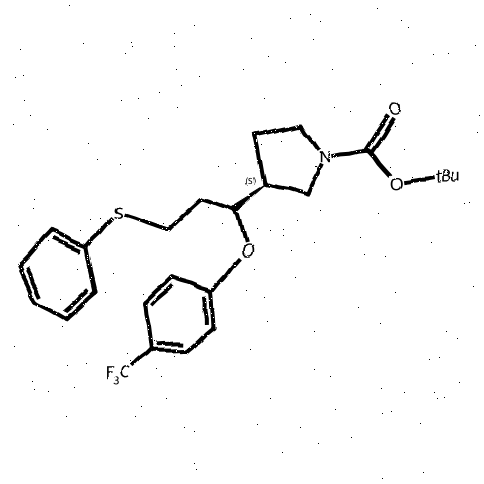 CC(C)(C)OC(=O)N1CC[C@H](C(CCSc2ccccc2)Oc2ccc(C(F)(F)F)cc2)C1